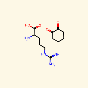 N=C(N)NCCCC(N)C(=O)O.O=C1CCCCC1=O